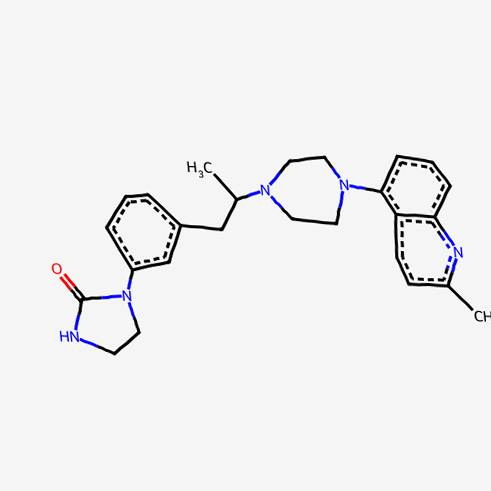 Cc1ccc2c(N3CCN(C(C)Cc4cccc(N5CCNC5=O)c4)CC3)cccc2n1